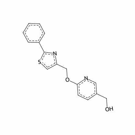 OCc1ccc(OCc2csc(-c3ccccc3)n2)nc1